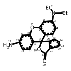 CCN(CC)c1ccc2c(c1)Oc1cc(N)ccc1C21OC(=O)c2ccccc21